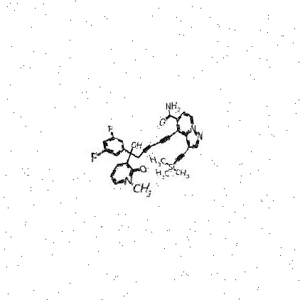 Cn1cccc(C(O)(CC#CC#Cc2c(C(N)=O)ccn3ncc(C#C[Si](C)(C)C)c23)c2cc(F)cc(F)c2)c1=O